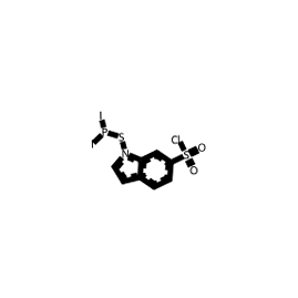 O=S(=O)(Cl)c1ccc2ccn(SP(I)I)c2c1